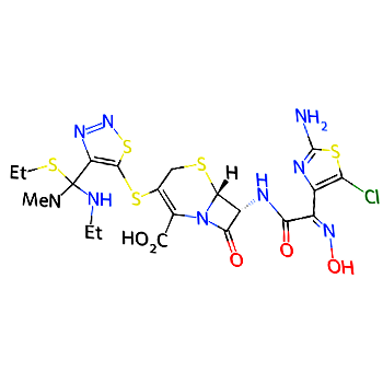 CCNC(NC)(SCC)c1nnsc1SC1=C(C(=O)O)N2C(=O)[C@@H](NC(=O)/C(=N\O)c3nc(N)sc3Cl)[C@H]2SC1